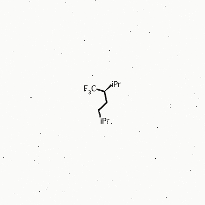 CC(C)CC[C@H](C(C)C)C(F)(F)F